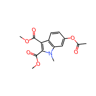 COC(=O)c1c(C(=O)OC)n(C)c2cc(OC(C)=O)ccc12